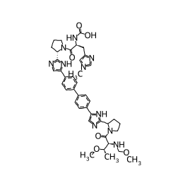 COCN[C@H](C(=O)N1CCCC1c1ncc(-c2ccc(-c3ccc(-c4cnc([C@@H]5CCCN5C(=O)[C@H](Cc5cn(C)cn5)NC(=O)O)[nH]4)cc3)cc2)[nH]1)[C@@H](C)OC